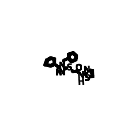 O=C(CSc1nnc(-c2ccccc2)n1Cc1ccccc1)Nc1nccs1